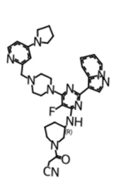 N#CCC(=O)N1CCC[C@@H](Nc2nc(-c3cnn4ccccc34)nc(N3CCN(Cc4cc(N5CCCC5)ccn4)CC3)c2F)C1